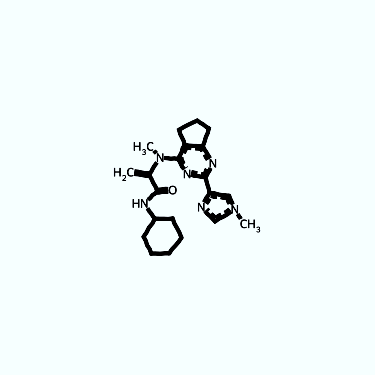 C=C(C(=O)NC1CCCCC1)N(C)c1nc(-c2cn(C)cn2)nc2c1CCC2